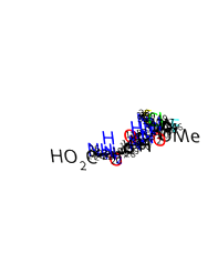 COC(=O)C1=C(CN2CCN3C(=O)N(c4ccc(CCC(=O)NCCC[C@H](N)C(=O)O)cc4)C[C@@H]3C2)NC(c2nccs2)=N[C@H]1c1ccc(F)cc1Cl